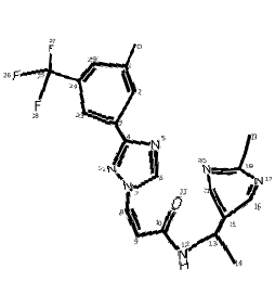 Cc1cc(-c2ncn(/C=C\C(=O)NC(C)c3cnc(C)nc3)n2)cc(C(F)(F)F)c1